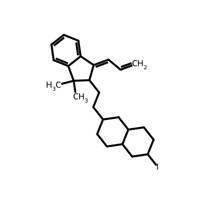 C=C/C=C1/c2ccccc2C(C)(C)C1CCC1CCC2CC(I)CCC2C1